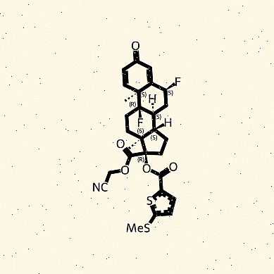 CSc1ccc(C(=O)O[C@]2(C(=O)OCC#N)CC[C@H]3[C@@H]4C[C@H](F)C5=CC(=O)C=C[C@]5(C)[C@@]4(F)CC[C@@]32C)s1